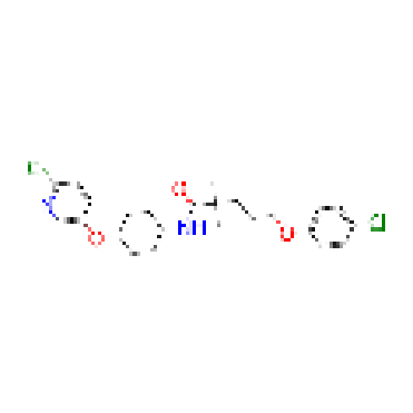 CC(C)(CCCOc1ccc(Cl)cc1)C(=O)N[C@H]1CC[C@@H](Oc2ccc(Cl)nc2)CC1